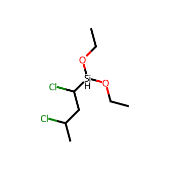 CCO[SiH](OCC)C(Cl)CC(C)Cl